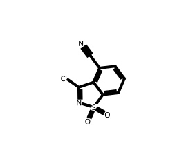 N#Cc1cccc2c1C(Cl)=NS2(=O)=O